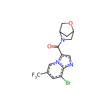 O=C(c1cnc2c(Br)cc(C(F)(F)F)cn12)N1CC2CC1CO2